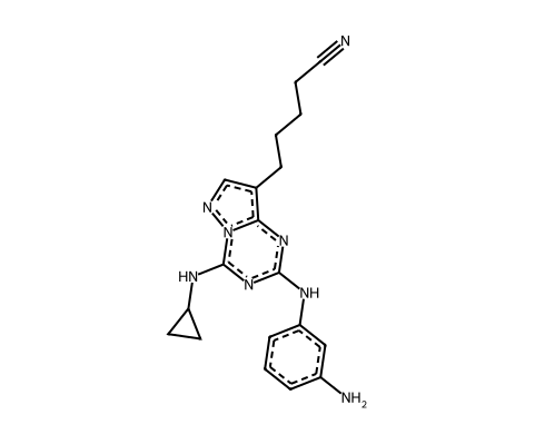 N#CCCCCc1cnn2c(NC3CC3)nc(Nc3cccc(N)c3)nc12